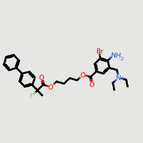 CCN(CC)Cc1cc(C(=O)OCCCCOC(=O)C(C)(F)c2ccc(-c3ccccc3)cc2)cc(Br)c1N